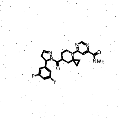 CNC(=O)c1cc(N2CCC(C(=O)N3N=CCC3c3cc(F)cc(F)c3)CC23CC3)ncn1